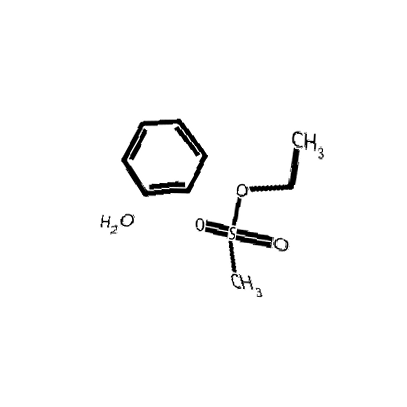 CCOS(C)(=O)=O.O.c1ccccc1